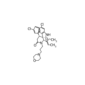 C/C=C(\CC)[C@H]1N(CCCN2CCOCC2)C(=O)C[C@@H](c2cccc(Cl)c2)[C@]12C(=O)Nc1cc(Cl)ccc12